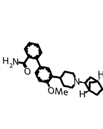 COc1ccc(-c2ccccc2C(N)=O)cc1C1CCN([C@H]2C[C@H]3CC[C@H]2C3)CC1